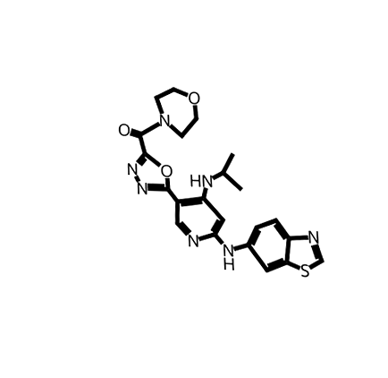 CC(C)Nc1cc(Nc2ccc3ncsc3c2)ncc1-c1nnc(C(=O)N2CCOCC2)o1